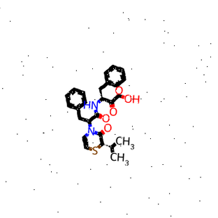 CC(C)[C@@H]1SC=CN(C(Cc2ccccc2)C(=O)N[C@@H](Cc2ccccc2)C(=O)C(=O)O)C1=O